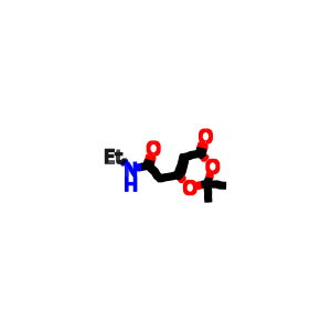 CCNC(=O)CC1=CC(=O)OC(C)(C)O1